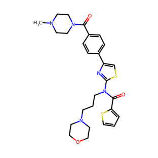 CN1CCN(C(=O)c2ccc(-c3csc(N(CCCN4CCOCC4)C(=O)c4cccs4)n3)cc2)CC1